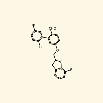 O=Cc1ccc(OCC2Cc3cccc(F)c3O2)cc1-c1cc(Br)ccc1Cl